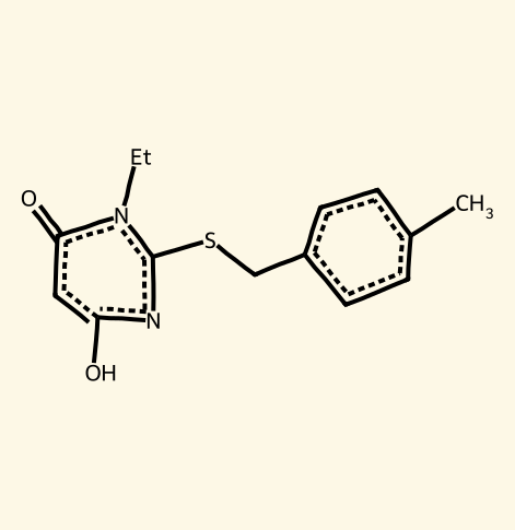 CCn1c(SCc2ccc(C)cc2)nc(O)cc1=O